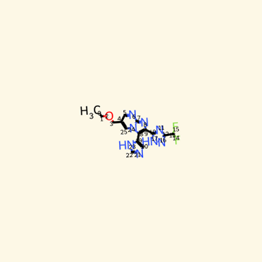 CCOCc1cnc2nc(-c3nc(C(F)F)n[nH]3)c(-c3cnc[nH]3)n2c1